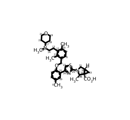 Cc1ccc(OCc2ccc(C)c(CCN(C)C3CCOCC3)c2C)c(-c2csc(N3C[C@@H]4C[C@]4(C(=O)O)[C@H]3C)n2)c1